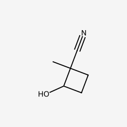 CC1(C#N)CCC1O